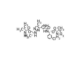 CC[C@H](COC(=O)[C@@H](N)C(C)C)Nc1ncc(C)c(-c2c[nH]c(C(=O)N[C@H](COC(=O)[C@@H](N)C(C)C)c3cccc(Cl)c3)c2)n1